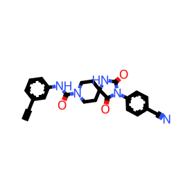 C#Cc1cccc(NC(=O)N2CCC3(CC2)NC(=O)N(c2ccc(C#N)cc2)C3=O)c1